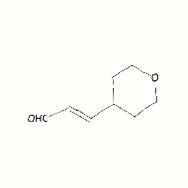 O=CC=CC1CCOCC1